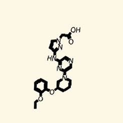 CCOc1ccccc1OC1CCCN(c2cncc(Nc3ccn(CC(=O)O)n3)n2)C1